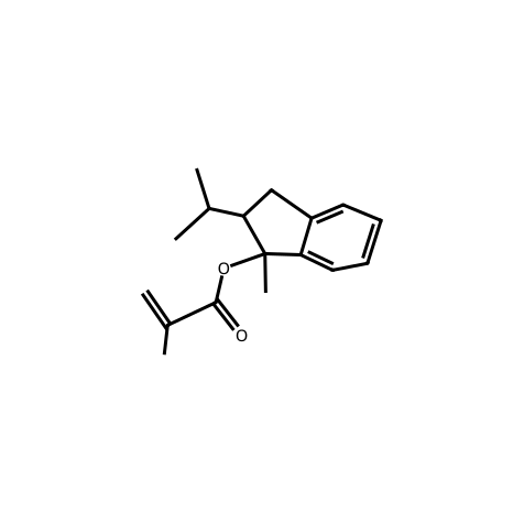 C=C(C)C(=O)OC1(C)c2ccccc2CC1C(C)C